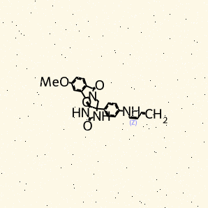 C=C/C=C\Nc1ccc(C2(CN3Cc4cc(OC)ccc4C3=O)NC(=O)NC2=O)cc1